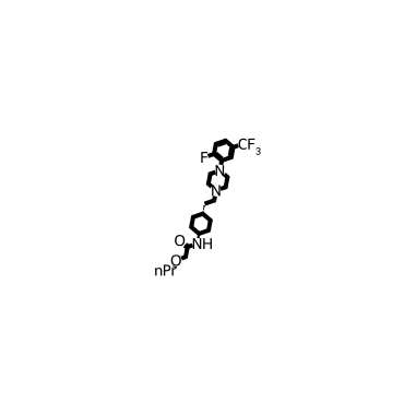 CCCOCC(=O)N[C@H]1CC[C@H](CCN2CCN(c3cc(C(F)(F)F)ccc3F)CC2)CC1